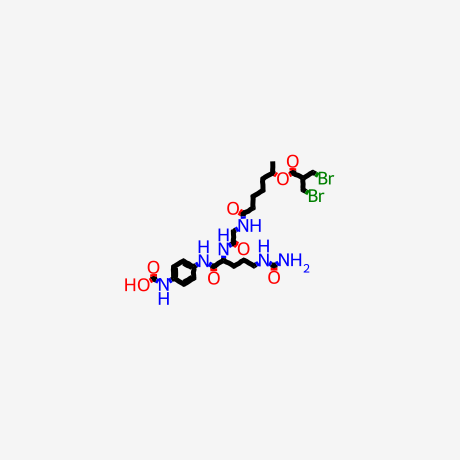 CC(CCCCC(=O)NCC(=O)NC(CCCNC(N)=O)C(=O)Nc1ccc(NC(=O)O)cc1)OC(=O)C(CBr)CBr